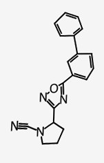 N#CN1CCCC1c1noc(-c2cccc(-c3ccccc3)c2)n1